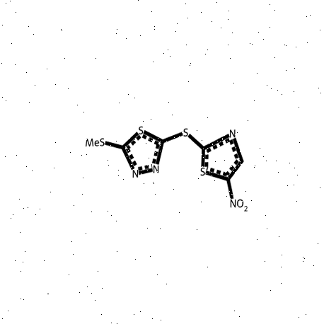 CSc1nnc(Sc2ncc([N+](=O)[O-])s2)s1